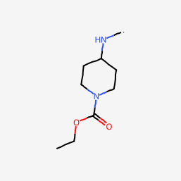 [CH2]NC1CCN(C(=O)OCC)CC1